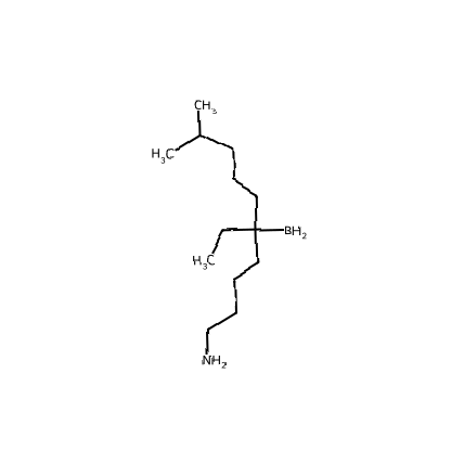 BC(CC)(CCCCN)CCCC(C)C